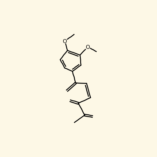 C=C(C)C(=C)/C=C\C(=C)c1ccc(OC)c(OC)c1